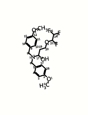 COc1ccc(CN(Cc2ccc(OC)cc2)C(O)CCOC(F)C(F)F)cc1